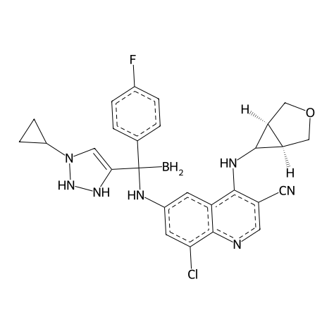 BC(Nc1cc(Cl)c2ncc(C#N)c(NC3[C@H]4COC[C@@H]34)c2c1)(C1=CN(C2CC2)NN1)c1ccc(F)cc1